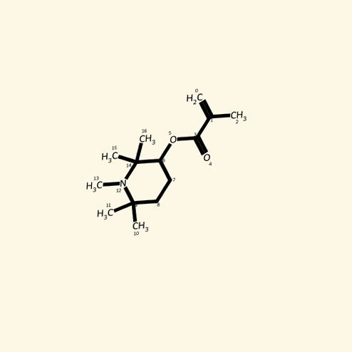 C=C(C)C(=O)OC1CCC(C)(C)N(C)C1(C)C